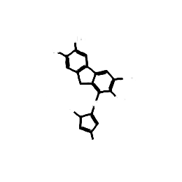 CC(C)C1C=C(C(C)(C)C)C=[C]1[Zr+2][c]1c2c(cc(C(C)(C)C)c1C(C)(C)C)-c1cc(C(C)(C)C)c(C(C)(C)C)cc1C2.[Cl-].[Cl-]